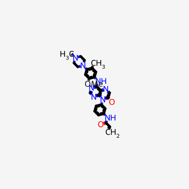 C=CC(=O)Nc1cccc(-n2c(=O)cnc3c(Nc4cc(C)c(N5CCN(C)CC5)cc4OC)ncnc32)c1